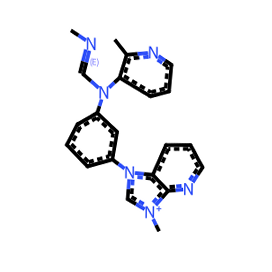 C/N=C/N(c1cccc(-n2c[n+](C)c3ncccc32)c1)c1cccnc1C